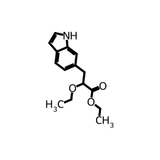 CCOC(=O)C(Cc1ccc2cc[nH]c2c1)OCC